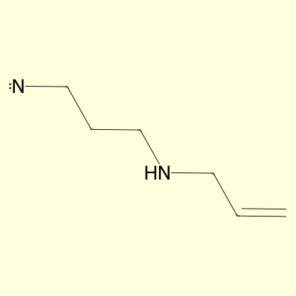 C=CCNCCC[N]